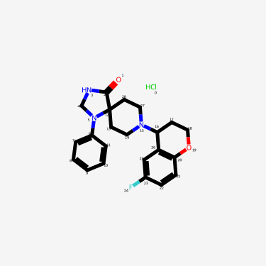 Cl.O=C1NCN(c2ccccc2)C12CCN(C1CCOc3ccc(F)cc31)CC2